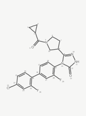 O=C(C1CC1)N1CCC(c2n[nH]c(=O)n2-c2ccc(-c3ccc(Cl)cc3F)cc2F)C1